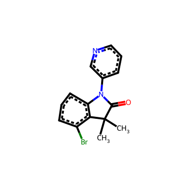 CC1(C)C(=O)N(c2cccnc2)c2cccc(Br)c21